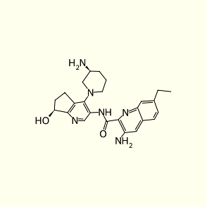 CCc1ccc2cc(N)c(C(=O)Nc3cnc4c(c3N3CCC[C@H](N)C3)CC[C@@H]4O)nc2c1